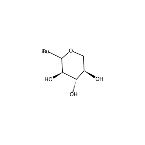 CCC(C)C1OC[C@@H](O)[C@H](O)[C@H]1O